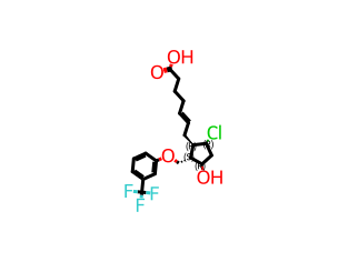 O=C(O)CCCC=CC[C@@H]1[C@@H](COc2cccc(C(F)(F)F)c2)[C@H](O)C[C@H]1Cl